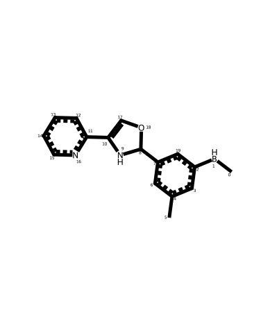 CBc1cc(C)cc(C2NC(c3ccccn3)=CO2)c1